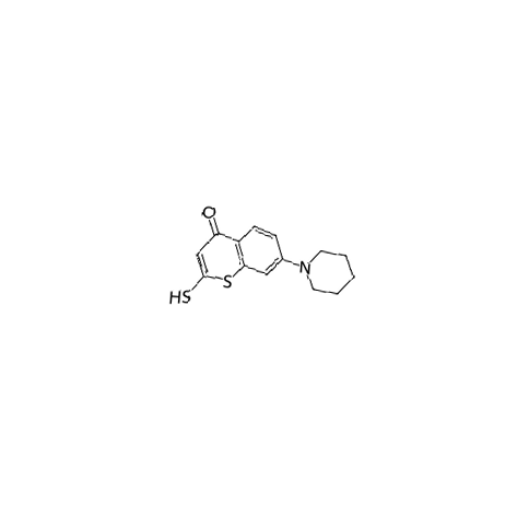 O=c1cc(S)sc2cc(N3CCCCC3)ccc12